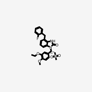 CCOc1cc([C@@H](CS(C)(=O)=O)n2c(=O)[nH]c3c(Cc4ccccc4F)cccc32)ccc1OC